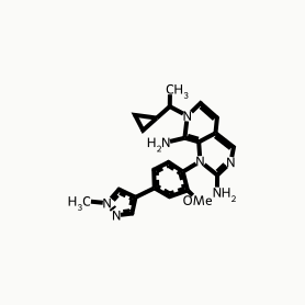 COc1cc(-c2cnn(C)c2)ccc1N1C(N)=NC=C2C=CN(C(C)C3CC3)C(N)=C21